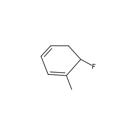 CC1=CC=CCC1F